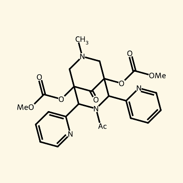 COC(=O)OC12CN(C)CC(OC(=O)OC)(C1=O)C(c1ccccn1)N(C(C)=O)C2c1ccccn1